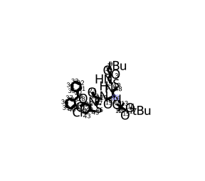 CC(C)(C)OC(=O)Nc1nc(/C(=N/OC(C)(C)C(=O)OC(C)(C)C)C(=O)NC2C(=O)N3C(C(=O)OC(c4ccccc4)c4ccccc4)=C(CCl)CSC23)cs1